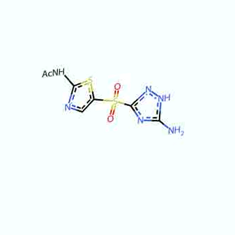 CC(=O)Nc1ncc(S(=O)(=O)c2n[nH]c(N)n2)s1